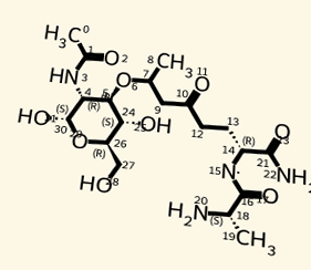 CC(=O)N[C@@H]1[C@@H](OC(C)CC(=O)CC[C@@H]([N]C(=O)[C@H](C)N)C(N)=O)[C@H](O)[C@@H](CO)O[C@@H]1O